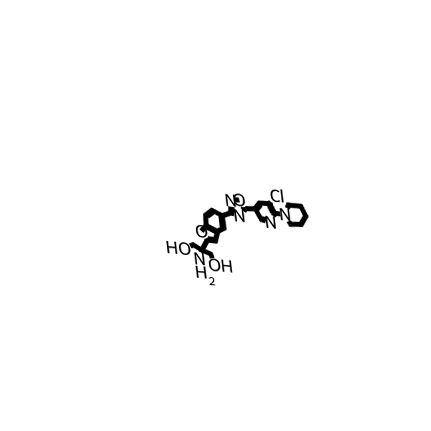 NC(CO)(CO)c1cc2cc(-c3noc(-c4cnc(N5CCCCC5)c(Cl)c4)n3)ccc2o1